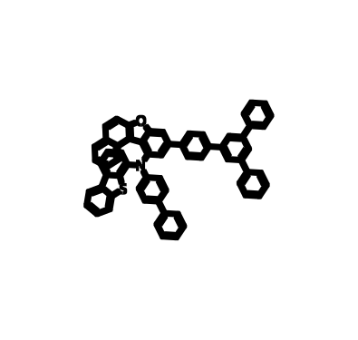 c1ccc(-c2ccc(N(c3cccc4c3sc3ccccc34)c3cc(-c4ccc(-c5cc(-c6ccccc6)cc(-c6ccccc6)c5)cc4)cc4oc5ccc6ccccc6c5c34)cc2)cc1